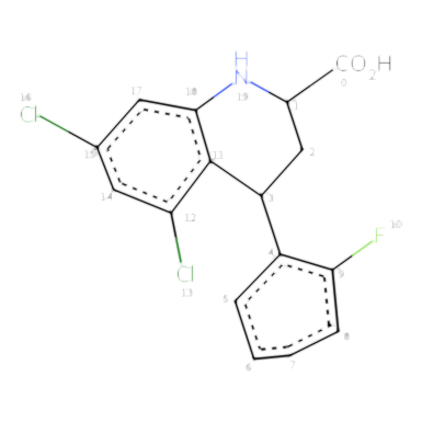 O=C(O)C1CC(c2ccccc2F)c2c(Cl)cc(Cl)cc2N1